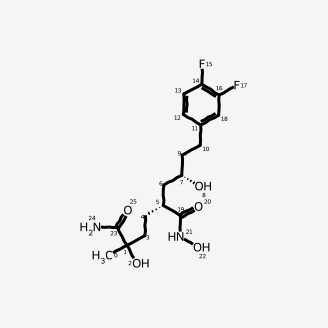 CC(O)(CC[C@H](C[C@@H](O)[CH]Cc1ccc(F)c(F)c1)C(=O)NO)C(N)=O